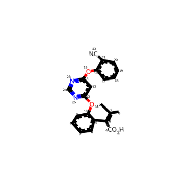 CC(C)=C(C(=O)O)c1ccccc1Oc1cc(Oc2ccccc2C#N)ncn1